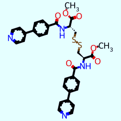 COC(=O)[C@H](CSSC[C@H](NC(=O)c1ccc(-c2ccncc2)cc1)C(=O)OC)NC(=O)c1ccc(-c2ccncc2)cc1